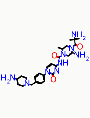 CC1CN(C(=O)C(C)(C)N)[C@H](N)CN1C(=O)Nc1ccn(-c2ccc(CN3CCC(N)CC3)cc2)c(=O)n1